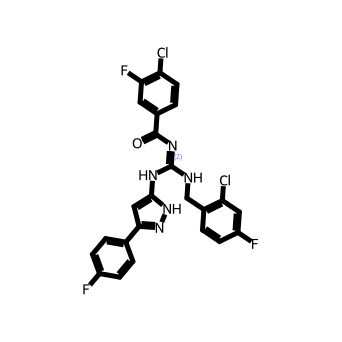 O=C(/N=C(/NCc1ccc(F)cc1Cl)Nc1cc(-c2ccc(F)cc2)n[nH]1)c1ccc(Cl)c(F)c1